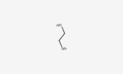 [CH2]C[CH]C[CH]CC[CH2]